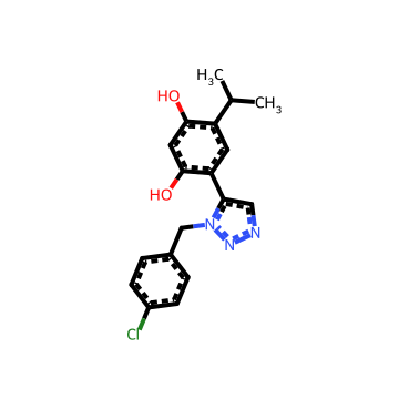 CC(C)c1cc(-c2cnnn2Cc2ccc(Cl)cc2)c(O)cc1O